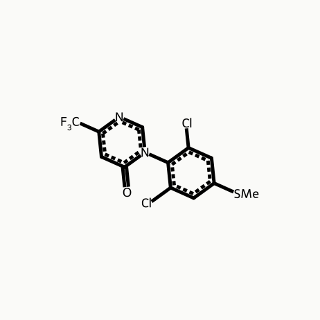 CSc1cc(Cl)c(-n2cnc(C(F)(F)F)cc2=O)c(Cl)c1